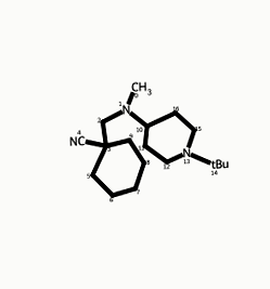 CN(CC1(C#N)CCCCC1)C1CCN(C(C)(C)C)CC1